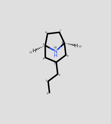 CCCC1C[C@H]2CC[C@@H](C1)N2